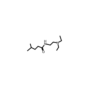 CCN(CC)CCNC(=O)CCC(C)C